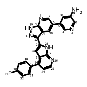 Nc1cncc(-c2cnc3[nH]nc(-c4cc5c(-c6ccc(F)cc6)ccnc5[nH]4)c3c2)c1